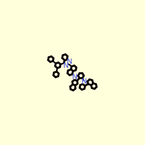 c1ccc(-c2cc(-c3ccccc3)cc(-c3nc(-c4cccc5c(-n6c7cc8ccccc8cc7c7c(-n8c9ccccc9c9c%10ccccc%10ccc98)cccc76)cccc45)nc4ccccc34)c2)cc1